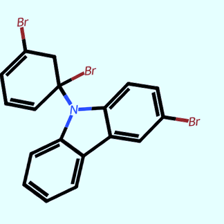 BrC1=CC=CC(Br)(n2c3ccccc3c3cc(Br)ccc32)C1